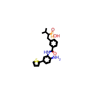 CC(C)C(Cc1cccc(C(=O)Nc2cc(-c3cccs3)ccc2N)c1)[PH](=O)O